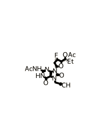 C#CCn1c(=O)n([C@H]2C[C@@H](F)C([C@@H](CC)OC(C)=O)O2)c2nc(NC(C)=O)[nH]c(=O)c21